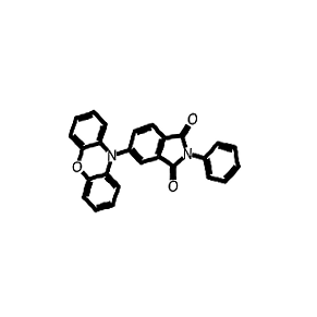 O=C1c2ccc(N3c4ccccc4Oc4ccccc43)cc2C(=O)N1c1ccccc1